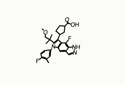 COCC(C)(C)c1c(C2CCC(C(=O)O)C2)c2c(F)c3[nH]ncc3cc2n1-c1ccc(F)c(C)c1